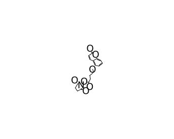 O=C(CCCOc1cccc2oc(=O)ccc12)ON1C(=O)CCC1=O